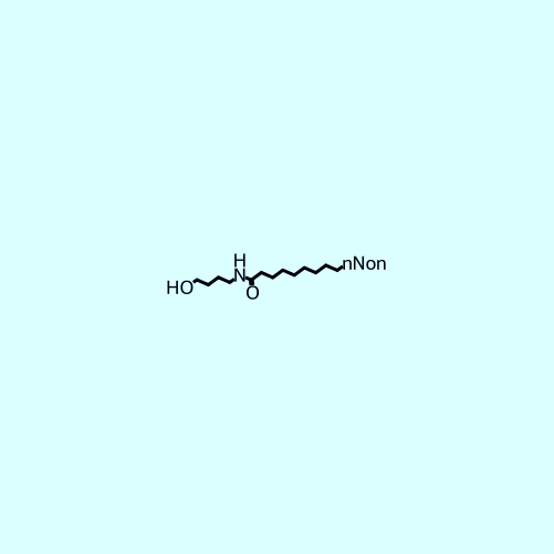 CCCCCCCCCCCCCCCCCC(=O)NCCCCO